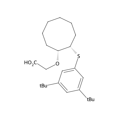 CC(C)(C)c1cc(S[C@H]2CCCCCC[C@H]2OCC(=O)O)cc(C(C)(C)C)c1